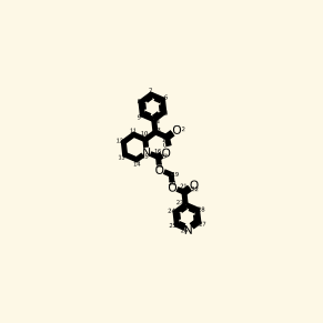 CC(=O)C(c1ccccc1)C1CCCCN1C(=O)OCOC(=O)c1ccncc1